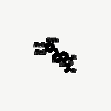 CCOc1ccc2c(Cc3cc(OC)c(OC)c(OC)c3)cncc2c1NC(=O)[C@H](C)C(C)C